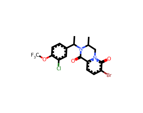 CC1Cn2c(ccc(Br)c2=O)C(=O)N1C(C)c1ccc(OC(F)(F)F)c(Cl)c1